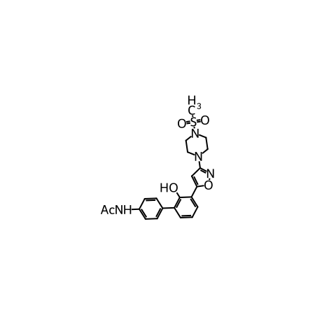 CC(=O)Nc1ccc(-c2cccc(-c3cc(N4CCN(S(C)(=O)=O)CC4)no3)c2O)cc1